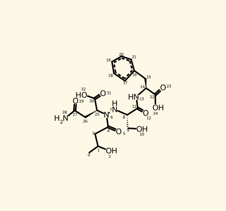 CC(O)CC(=O)N(N[C@@H](CO)C(=O)N[C@@H](Cc1ccccc1)C(=O)O)[C@@H](CC(N)=O)C(=O)O